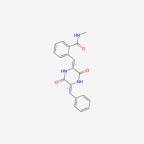 CNC(=O)c1ccccc1/C=c1\[nH]c(=O)/c(=C/c2ccccc2)[nH]c1=O